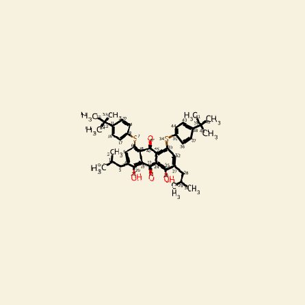 CC(C)Cc1cc(Sc2ccc(C(C)(C)C)cc2)c2c(c1O)C(=O)c1c(O)c(CC(C)C)cc(Sc3ccc(C(C)(C)C)cc3)c1C2=O